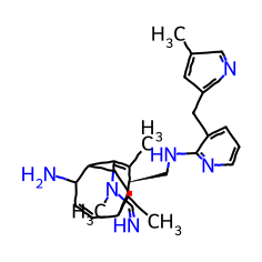 C/C1=C(/N(C)C=N)C2CCC(C=CC2N)C(C)[C@@H]1CNc1ncccc1Cc1cncc(C)c1